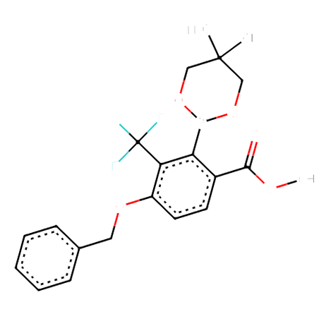 COC(=O)c1ccc(OCc2ccccc2)c(C(F)(F)F)c1B1OCC(C)(C)CO1